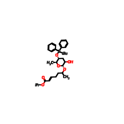 CC(C)OC(=O)C=CCCC(C)O[C@@H]1O[C@@H](C)[C@H](O[Si](c2ccccc2)(c2ccccc2)C(C)(C)C)C[C@H]1O